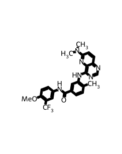 COc1ccc(NC(=O)c2ccc(C)c(Nc3ncnc4ccc(N(C)C)nc34)c2)cc1C(F)(F)F